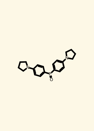 O=[P](c1ccc(N2CCCC2)cc1)c1ccc(N2CCCC2)cc1